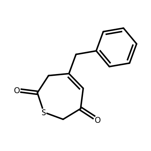 O=C1C=C(Cc2ccccc2)CC(=O)SC1